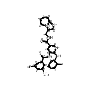 Cc1ccccc1Nc1ncc(C(=O)NCc2nnc3ccccn23)cc1NC(=O)c1cc(F)cc(C(F)(F)F)c1